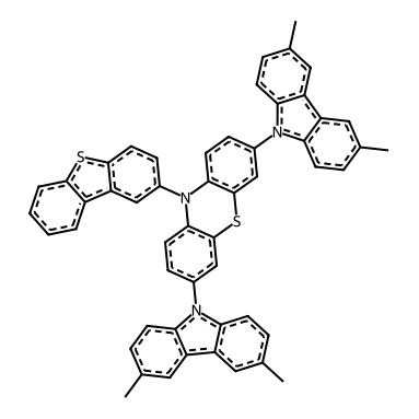 Cc1ccc2c(c1)c1cc(C)ccc1n2-c1ccc2c(c1)Sc1cc(-n3c4ccc(C)cc4c4cc(C)ccc43)ccc1N2c1ccc2sc3ccccc3c2c1